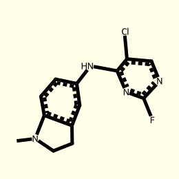 CN1CCc2cc(Nc3nc(F)ncc3Cl)ccc21